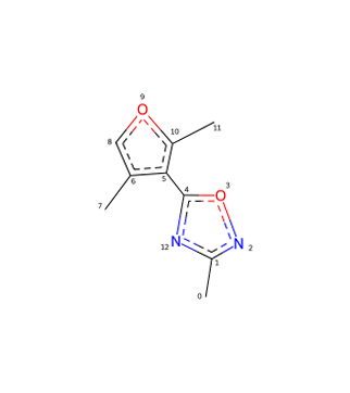 Cc1noc(-c2c(C)coc2C)n1